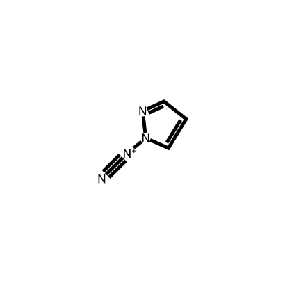 N#[N+]n1cccn1